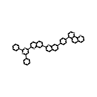 c1ccc(-c2cc(-c3ccc4ccc(-c5ccc6ccc(-c7ccc(-c8ccnc9c8ccc8cccnc89)cc7)cc6n5)cc4n3)nc(-c3ccccc3)n2)cc1